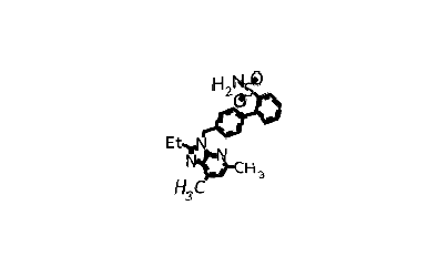 CCc1nc2c(C)cc(C)nc2n1Cc1ccc(-c2ccccc2S(N)(=O)=O)cc1